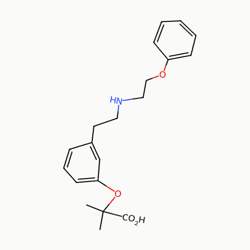 CC(C)(Oc1cccc(CCNCCOc2ccccc2)c1)C(=O)O